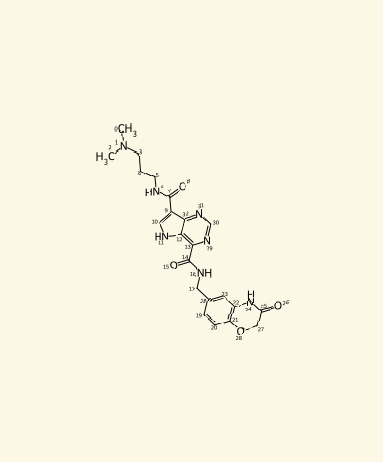 CN(C)CCCNC(=O)c1c[nH]c2c(C(=O)NCc3ccc4c(c3)NC(=O)CO4)ncnc12